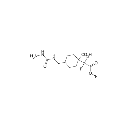 NNC(=O)NCC1CCC(C(=O)O)(C(F)(F)C(=O)OF)CC1